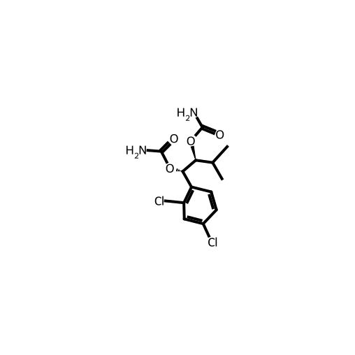 CC(C)[C@H](OC(N)=O)[C@@H](OC(N)=O)c1ccc(Cl)cc1Cl